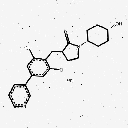 Cl.O=C1C(Cc2c(Cl)cc(-c3cccnc3)cc2Cl)CCN1[C@H]1CC[C@@H](O)CC1